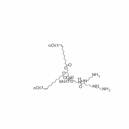 CCCCCCCC/C=C\CCCCCCCC(=O)OCC(COP(=O)(OC)OCCNC(=O)C(CCCNCCCN)NCCCN)OC(=O)CCCCCCC/C=C\CCCCCCCC